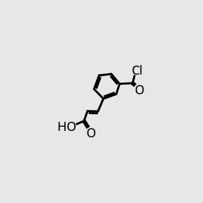 O=C(O)C=Cc1cccc(C(=O)Cl)c1